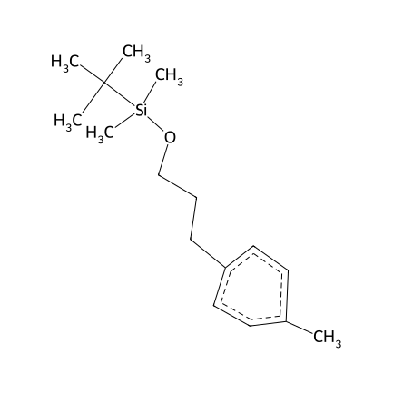 Cc1ccc(CCCO[Si](C)(C)C(C)(C)C)cc1